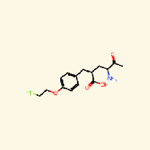 CC(=O)C(N)CC(Cc1ccc(OCC[18F])cc1)C(=O)O